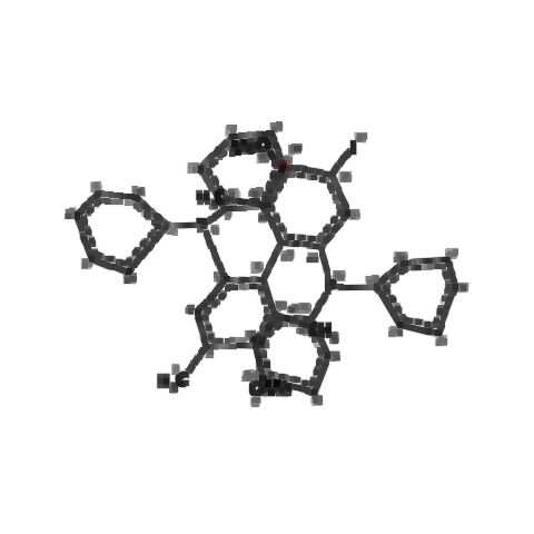 COc1c(C)cc(P(c2ccccc2)c2ccccc2)c(-c2c(P(c3ccccc3)c3ccccc3)cc(I)c(OC)c2C)c1C